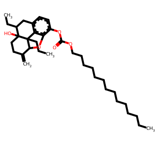 C=C1CCC2(O)C(CC)Cc3ccc(OC(=O)OCCCCCCCCCCCCCC)c4c3C2(CCC)C1O4